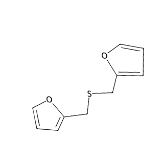 c1coc(CSCc2ccco2)c1